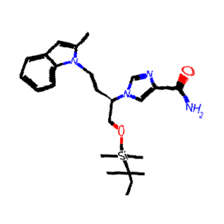 Cc1cc2ccccc2n1CC[C@H](CO[Si](C)(C)C(C)(C)C)n1cnc(C(N)=O)c1